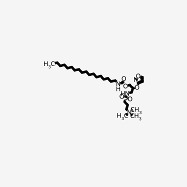 CCCCCCCCCCCCCCCCCCNC(=O)OCC(CNS(=O)(=O)CCC[N+](C)(C)C)Oc1ccon1